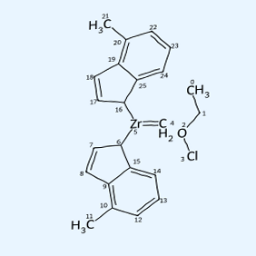 CCOCl.[CH2]=[Zr]([CH]1C=Cc2c(C)cccc21)[CH]1C=Cc2c(C)cccc21